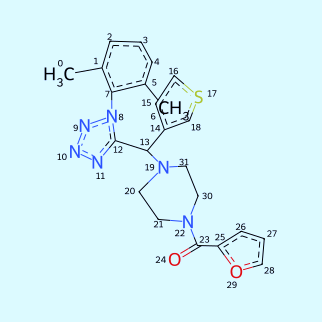 Cc1cccc(C)c1-n1nnnc1C(c1ccsc1)N1CCN(C(=O)c2ccco2)CC1